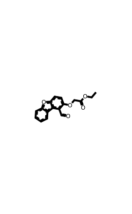 CCOC(=O)COc1ccc2oc3ccccc3c2c1C=O